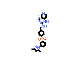 Cc1cc(C)n(-c2cccc(S(=O)(=O)c3ccc(CNC(=NC#N)Nc4ccncc4)cc3)c2)n1